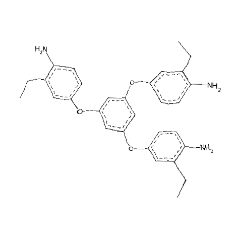 CCc1cc(Oc2cc(Oc3ccc(N)c(CC)c3)cc(Oc3ccc(N)c(CC)c3)c2)ccc1N